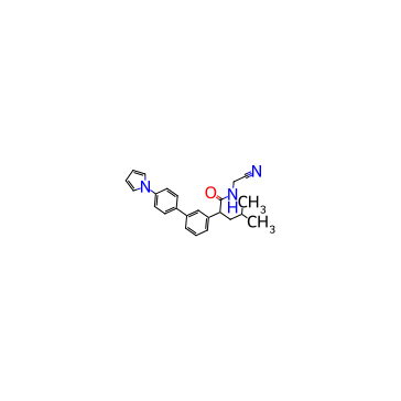 CC(C)CC(C(=O)NCC#N)c1cccc(-c2ccc(-n3cccc3)cc2)c1